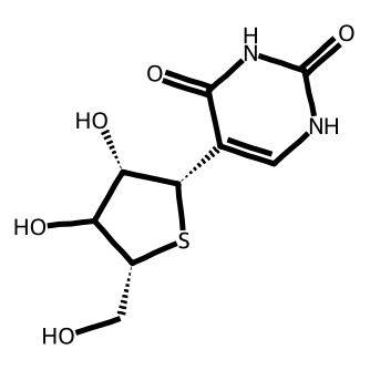 O=c1[nH]cc([C@@H]2S[C@H](CO)C(O)[C@@H]2O)c(=O)[nH]1